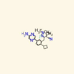 C=C(C#N)/C(Cc1c(C2CCC2)ccc(-c2cnc(N)cn2)c1F)=N\N(C)C